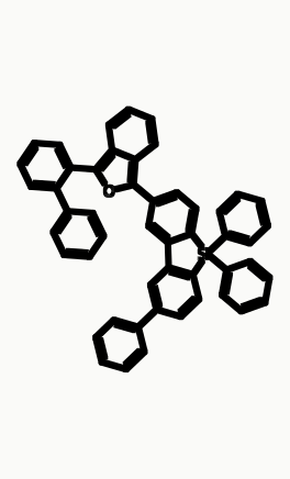 c1ccc(-c2ccc3c(c2)-c2cc(-c4oc(-c5ccccc5-c5ccccc5)c5ccccc45)ccc2[Si]3(c2ccccc2)c2ccccc2)cc1